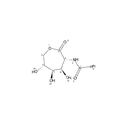 CCCC(=O)N[C@H]1C(=O)OC[C@@H](O)[C@H](O)[C@@H]1O